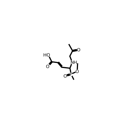 COP(C)(=O)C(C=CC(=O)O)NCC(C)=O